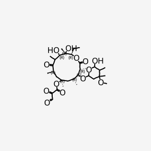 CC[C@H]1OC(=O)[C@H](C)[C@@H](OC2CC(C)(OC)C(C)C(O)O2)[C@H](C)C[C@@](C)(OC(=O)C(=O)C=O)C[C@@H](C)C(=O)C(C)[C@@H](O)[C@]1(C)O